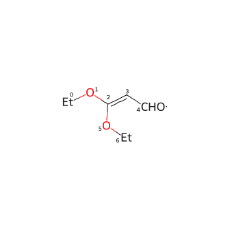 CCOC(=C[C]=O)OCC